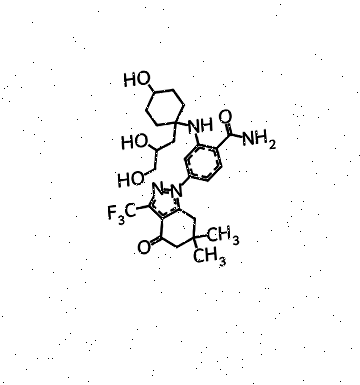 CC1(C)CC(=O)c2c(C(F)(F)F)nn(-c3ccc(C(N)=O)c(NC4(CC(O)CO)CCC(O)CC4)c3)c2C1